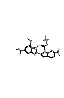 COC(=O)c1cc(OC)c2c(c1)nc(-c1cc3ccc(C(C)=O)cc3n1C(=O)OC(C)(C)C)n2C